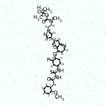 COc1ccccc1CC(=O)NC(=S)Nc1ccc(Oc2ccnc3cc(-c4cnn(CCN(C)C(=O)OC(C)(C)C)c4)sc23)c(F)c1